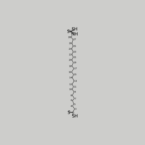 S=C(S)CCCCCCCCCCCCCCCCCCCCCCCCCCNC(=S)S